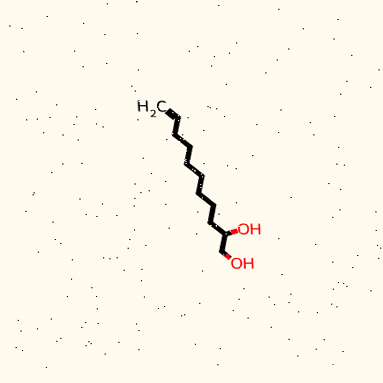 C=CCCCCCCCC(O)CO